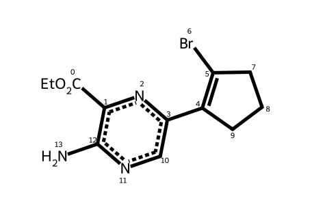 CCOC(=O)c1nc(C2=C(Br)CCC2)cnc1N